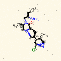 C/C=C(\N)CN1C(=O)c2cc(-c3cc(Cl)ncc3C)cn2CC1C